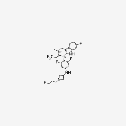 C[C@H]1Cc2c([nH]c3cc(F)ccc23)[C@H](c2c(F)cc(NC3CN(CCCF)C3)cc2F)N1CC(F)(F)F